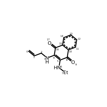 C=CCNC1=C(NCC)C(=O)c2ccccc2C1=O